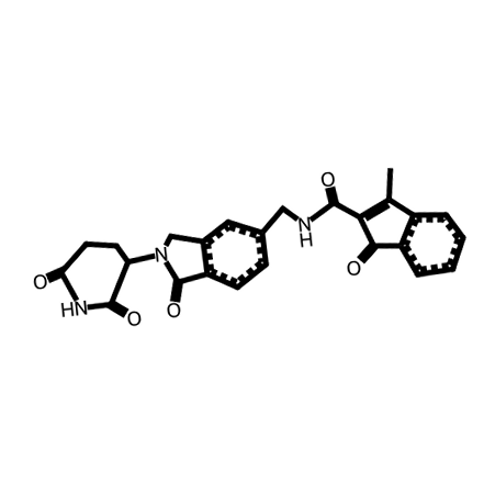 CC1=C(C(=O)NCc2ccc3c(c2)CN(C2CCC(=O)NC2=O)C3=O)C(=O)c2ccccc21